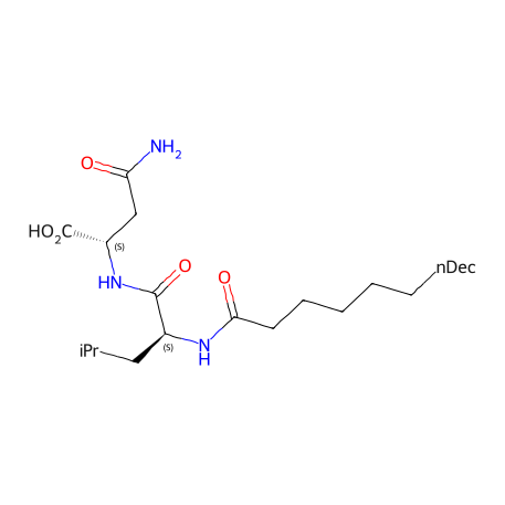 CCCCCCCCCCCCCCCC(=O)N[C@@H](CC(C)C)C(=O)N[C@@H](CC(N)=O)C(=O)O